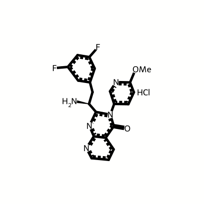 COc1ccc(-n2c([C@@H](N)Cc3cc(F)cc(F)c3)nc3ncccc3c2=O)cn1.Cl